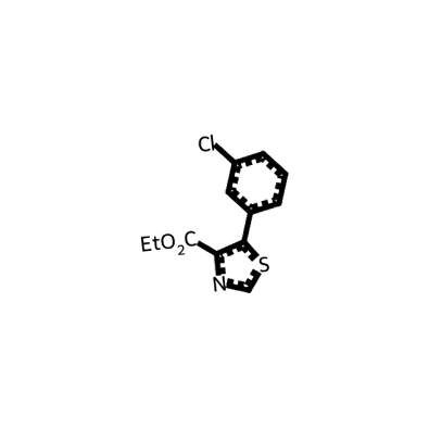 CCOC(=O)c1ncsc1-c1cccc(Cl)c1